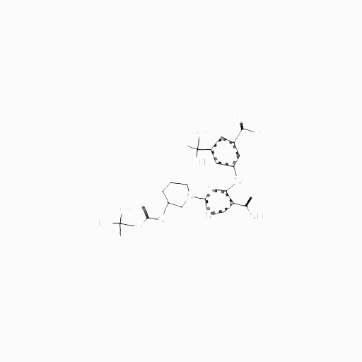 CC(C)(C)OC(=O)NC1CCCN(c2ncc(C(N)=O)c(Nc3cc(C(=O)O)cc(C(C)(C)C)c3)n2)C1